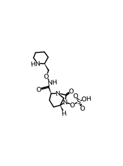 O=C(NOC[C@@H]1CCCCN1)[C@@H]1CC[C@@H]2CN1C(=O)N2OS(=O)(=O)O